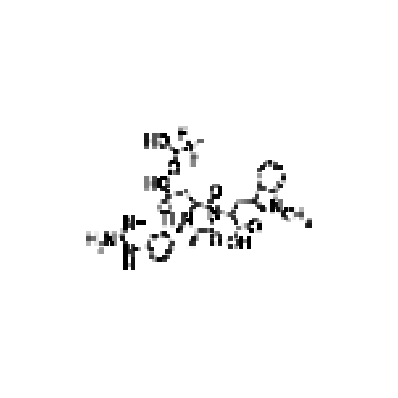 Cn1cc(CC(C(=O)O)N(C(=O)C=Cc2ccc(NC(=N)N)cc2)C(=O)[C@@H](N)CC(=O)O)c2ccccc21.O=C(O)C(F)(F)F